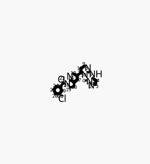 Cn1nccc1Nc1nccc(-c2cnc3c(c2)CCN3C(=O)c2cccc(Cl)c2)n1